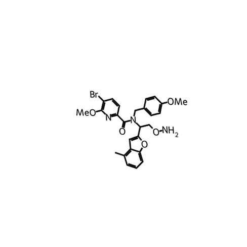 COc1ccc(CN(C(=O)c2ccc(Br)c(OC)n2)C(CON)c2cc3c(C)cccc3o2)cc1